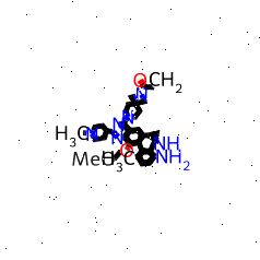 C=CC(=O)N1CC2(CCN(c3nc(C4CCN(C)CC4)nc4c(OCCOC)c(-c5c(C)ccc(N)c5C=N)c(C5CC5)cc34)CC2)C1